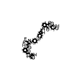 O=C1CCC(N2C(=O)c3cccc(NCC4CC5(CCN(C[C@H]6CC[C@H](n7cc(NC(=O)c8cccc9cc(N%10C[C@H]%11C[C@@H]%10CO%11)oc89)c(C(F)F)n7)CC6)CC5)C4)c3C2=O)C(=O)N1